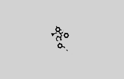 CCOC(=O)c1cccc(N2CC[C@H]3[C@@H](C2=O)[C@H](c2cccc(Cl)c2F)[C@]2(C(=O)Nc4cc(Cl)ccc42)N3CC2CC2)c1